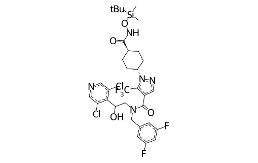 CC(C)(C)[Si](C)(C)ONC(=O)[C@H]1CC[C@H](n2ncc(C(=O)N(Cc3cc(F)cc(F)c3)CC(O)c3c(Cl)cncc3Cl)c2C(F)(F)F)CC1